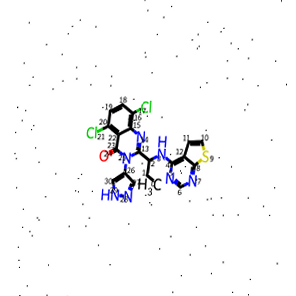 CCC(Nc1ncnc2sccc12)c1nc2c(Cl)ccc(Cl)c2c(=O)n1-c1cn[nH]c1